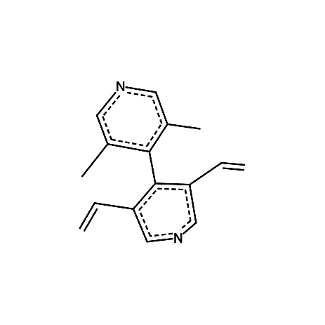 C=Cc1cncc(C=C)c1-c1c(C)cncc1C